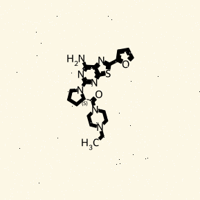 CCN1CCN(C(=O)[C@@H]2CCCN2c2nc(N)c3nc(-c4ccco4)sc3n2)CC1